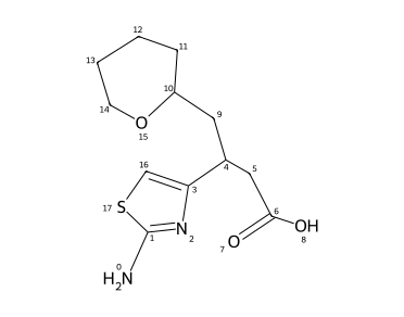 Nc1nc(C(CC(=O)O)CC2CCCCO2)cs1